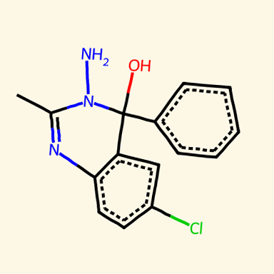 CC1=Nc2ccc(Cl)cc2C(O)(c2ccccc2)N1N